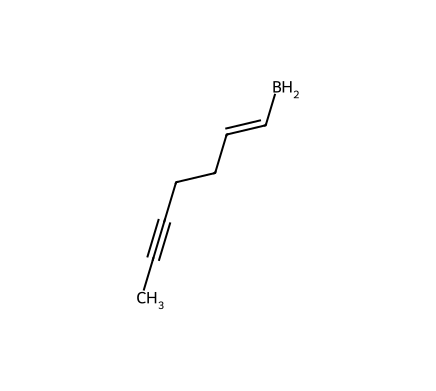 B/C=C/CCC#CC